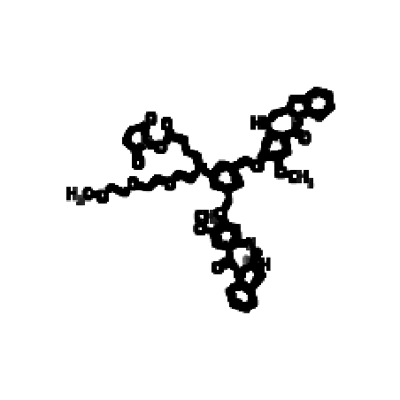 COCCOCCOCCN(CCCC(=O)ON1C(=O)CCC1=O)c1cc(COc2cc3c(cc2OC)C(=O)N2c4ccccc4C[C@H]2C=N3)cc(COc2cc3c(cc2OC)C(=O)N2c4ccccc4CC2CN3)c1